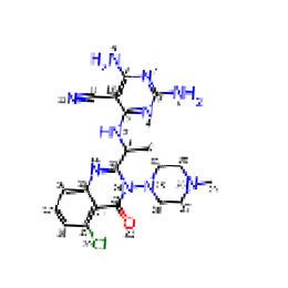 CC(Nc1nc(N)nc(N)c1C#N)c1nc2cccc(Cl)c2c(=O)n1N1CCN(C)CC1